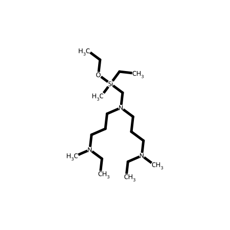 CCO[Si](C)(CC)CN(CCCN(C)CC)CCCN(C)CC